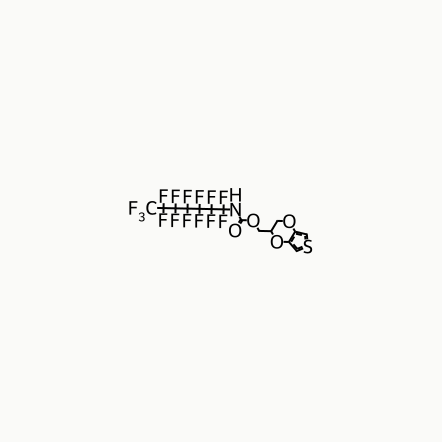 O=C(NC(F)(F)C(F)(F)C(F)(F)C(F)(F)C(F)(F)C(F)(F)C(F)(F)F)OCC1COc2cscc2O1